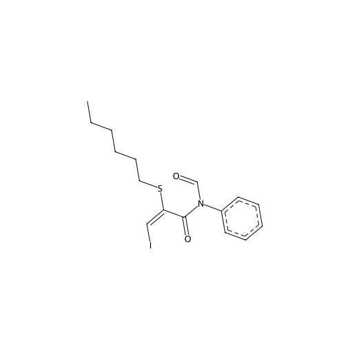 CCCCCCS/C(=C/I)C(=O)N(C=O)c1ccccc1